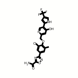 Cc1cc(-c2noc(C(N)=O)n2)cc(Cl)c1OCc1cc(O)c(-c2cc(C(F)(F)F)c[nH]2)cn1